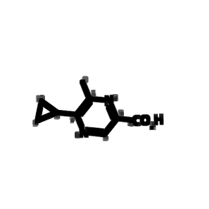 Cc1nc(C(=O)O)cnc1C1CC1